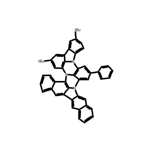 CC(C)(C)c1ccc2c(c1)c1cc(C(C)(C)C)cc3c1n2-c1cc(-c2ccccc2)cc2c1B3c1c3ccccc3cc3c4cc5ccccc5cc4n-2c13